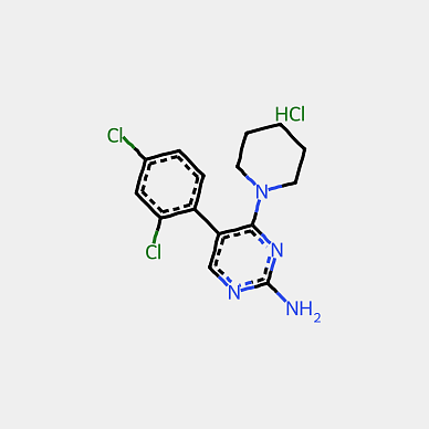 Cl.Nc1ncc(-c2ccc(Cl)cc2Cl)c(N2CCCCC2)n1